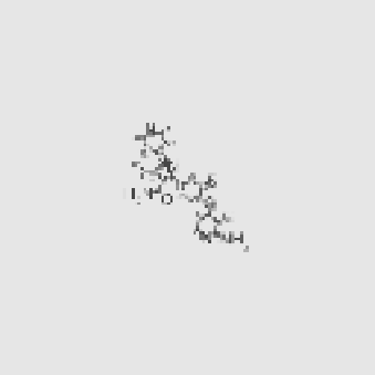 CCc1c(C(N)=O)c(-c2ccc(Oc3ccnc(N)c3Cl)c(F)c2)nn1-c1ccncc1